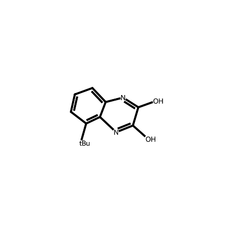 CC(C)(C)c1cccc2nc(O)c(O)nc12